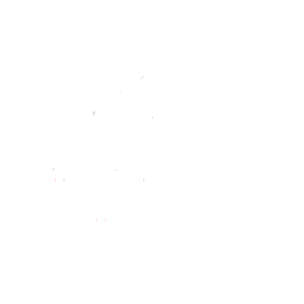 C=C1C2CCC(C2)C1(C)C.CCCCCCCC(=O)O